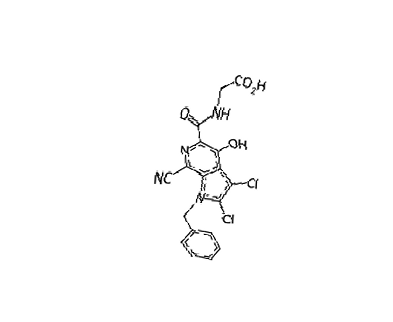 N#Cc1nc(C(=O)NCC(=O)O)c(O)c2c(Cl)c(Cl)n(Cc3ccccc3)c12